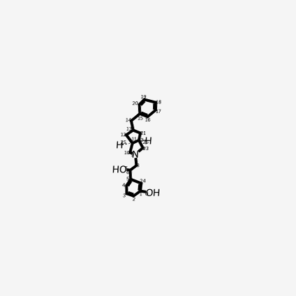 Oc1cccc(C(O)CN2C[C@H]3CC(Cc4ccccc4)C[C@H]3C2)c1